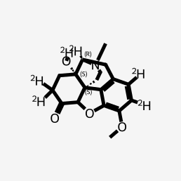 [2H]O[C@@]12CC([2H])([2H])C(=O)C3Oc4c(OC)c([2H])c([2H])c5c4[C@@]31CCN(C)[C@]2([2H])C5